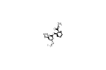 COC(=O)c1ncccc1Oc1nc(OC)cc(OC)n1